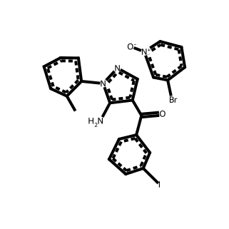 Cc1ccccc1-n1ncc(C(=O)c2cccc(I)c2)c1N.[O-][n+]1cccc(Br)c1